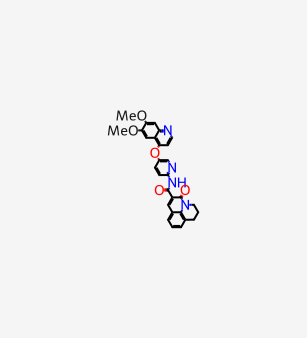 COc1cc2nccc(Oc3ccc(NC(=O)c4cc5cccc6c5n(c4=O)CCC6)nc3)c2cc1OC